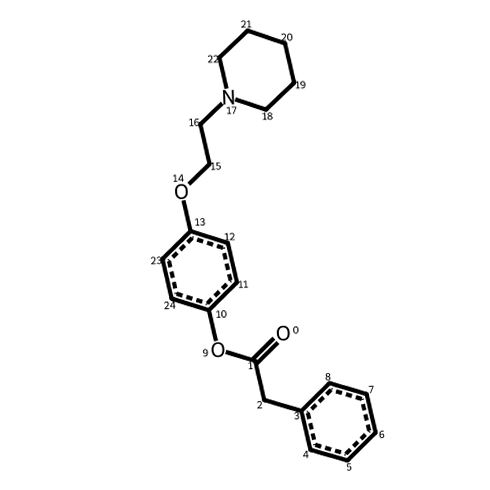 O=C(Cc1ccccc1)Oc1ccc(OCCN2CCCCC2)cc1